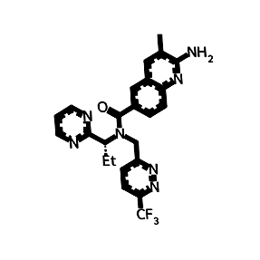 CC[C@H](c1ncccn1)N(Cc1ccc(C(F)(F)F)nn1)C(=O)c1ccc2nc(N)c(C)cc2c1